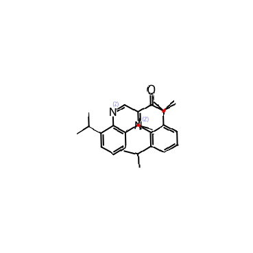 CCC(=O)C(/C=N\c1c(C(C)C)cccc1C(C)C)=N\c1c(C(C)C)cccc1C(C)C